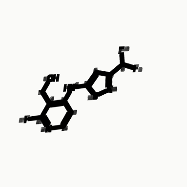 OCc1c(Nc2cc(C(F)F)ns2)ccnc1F